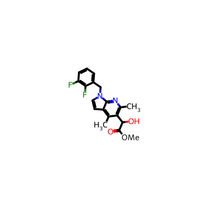 COC(=O)C(O)c1c(C)nc2c(ccn2Cc2cccc(F)c2F)c1C